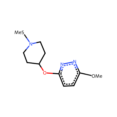 COc1ccc(OC2CCN(SC)CC2)nn1